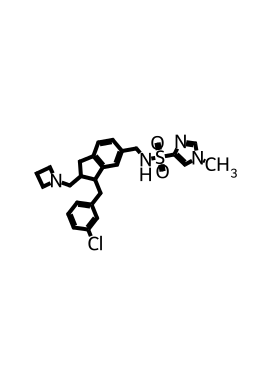 Cn1cnc(S(=O)(=O)NCc2ccc3c(c2)C(Cc2cccc(Cl)c2)C(CN2CCC2)C3)c1